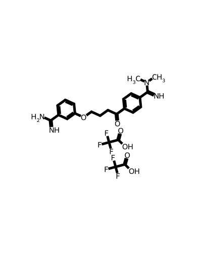 CN(C)C(=N)c1ccc(C(=O)CCCOc2cccc(C(=N)N)c2)cc1.O=C(O)C(F)(F)F.O=C(O)C(F)(F)F